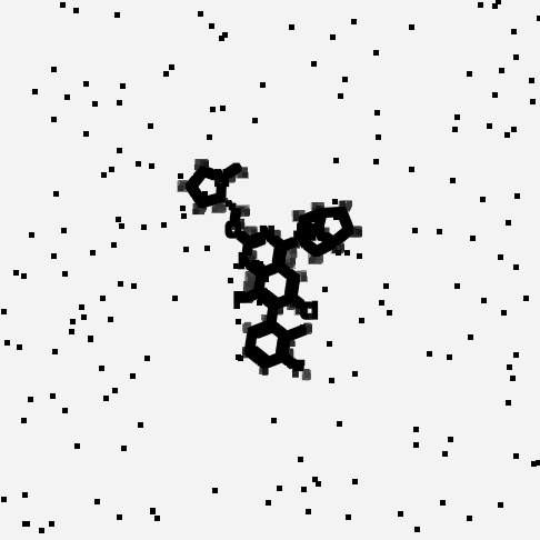 Cc1c(F)cccc1-c1c(Cl)cc2c(N3CC4CCC(C3)N4)nc(OC[C@@H]3CCCN3C)nc2c1F